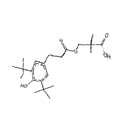 CC(C)(COC(=O)CCc1cc(C(C)(C)C)c(O)c(C(C)(C)C)c1)C(=O)O